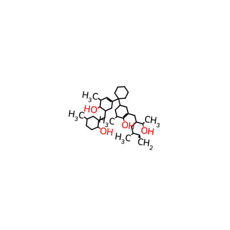 C=CC(C)CC(CC1=C(O)C(C)CC(C2(C3=CC(C)C(O)C(CC4CC(C)CCC4O)C3)CCCCC2)C1)C(C)O